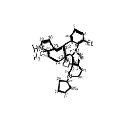 CCc1cccc2c1-n1nc3c(c1C1(C)C=CC4(C)NC=CC4=C21)CN(C1CCCC1)CC3